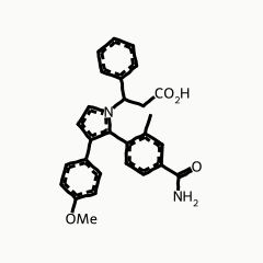 COc1ccc(-c2ccn(C(CC(=O)O)c3ccccc3)c2-c2ccc(C(N)=O)cc2C)cc1